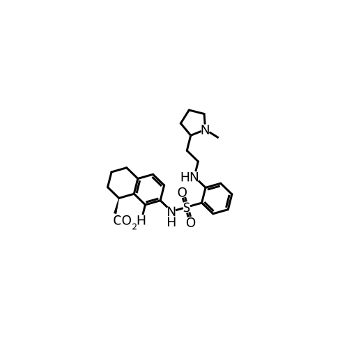 C[C@H]1CCCc2ccc(NS(=O)(=O)c3ccccc3NCCC3CCCN3C)c(C(=O)O)c21